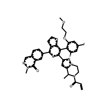 C=CC(=O)N1CCn2nc(-c3nc(-c4ccc5cnn(C)c(=O)c5c4)c4ccsc4c3-c3c(F)cc(F)cc3OCCOC)cc2C1C